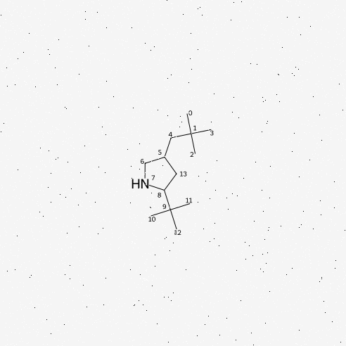 CC(C)(C)CC1CNC(C(C)(C)C)C1